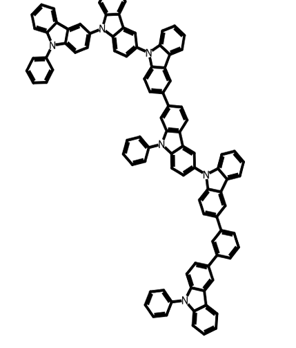 c1ccc(-n2c3ccccc3c3cc(-c4cccc(-c5ccc6c(c5)c5ccccc5n6-c5ccc6c(c5)c5ccc(-c7ccc8c(c7)c7ccccc7n8-c7ccc8c(c7)c7ccccc7n8-c7ccc8c(c7)c7ccccc7n8-c7ccccc7)cc5n6-c5ccccc5)c4)ccc32)cc1